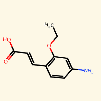 CCOc1cc(N)ccc1/C=C/C(=O)O